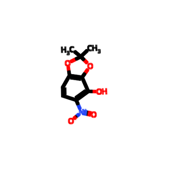 CC1(C)Oc2ccc([N+](=O)[O-])c(O)c2O1